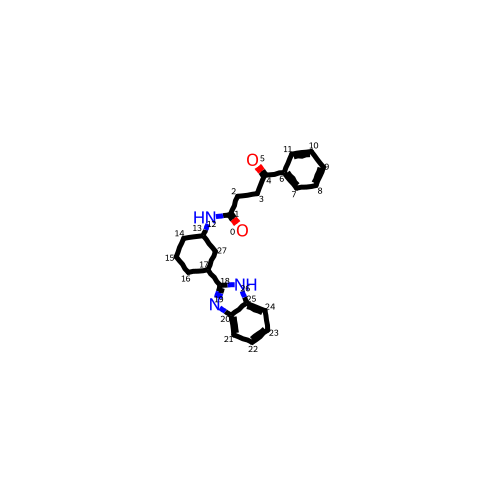 O=C(CCC(=O)c1ccccc1)NC1CCCC(c2nc3ccccc3[nH]2)C1